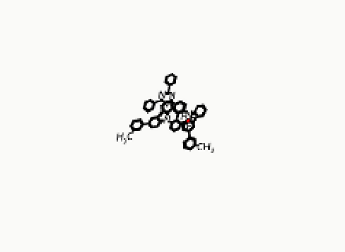 Cc1cccc(-c2ccc3c(c2)c2ccccc2n3-c2ccc(-c3nc(-c4ccccc4)nc(-c4ccccc4)n3)cc2-c2c(-n3c4ccccc4c4cc(-c5cccc(C)c5)ccc43)cccc2C(F)(F)F)c1